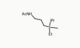 CCS(C)(CCCNC(C)=O)C(C)C